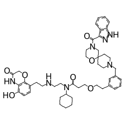 O=C1COc2c(CCNCCN(C(=O)CCOCCc3cccc(CN4CCC5(CC4)CN(C(=O)c4n[nH]c6ccccc46)CCO5)c3)C3CCCCC3)ccc(O)c2N1